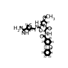 CO[C@H]1C[C@@H](C(=O)NCc2cc(C(=N)N)cs2)N(C(=O)CNC(=O)c2ccc(Oc3ccccc3)cc2)C1